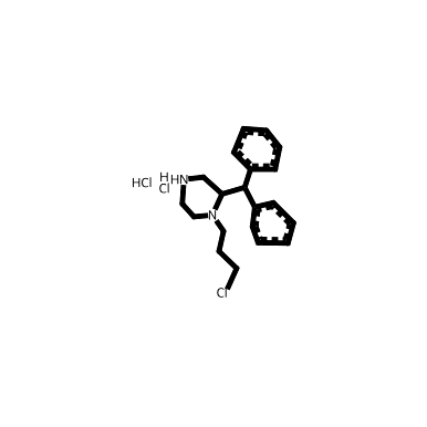 Cl.Cl.ClCCCN1CCNCC1C(c1ccccc1)c1ccccc1